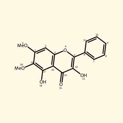 COc1cc2oc(-c3ccccc3)c(O)c(=O)c2c(O)c1OC